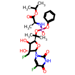 CC(C)OC(=O)[C@H](C)NP(=O)(Oc1ccccc1)OC(C)(C)[C@H]1O[C@@H](n2cc(F)c(=O)[nH]c2=O)[C@@](O)(CF)C1O